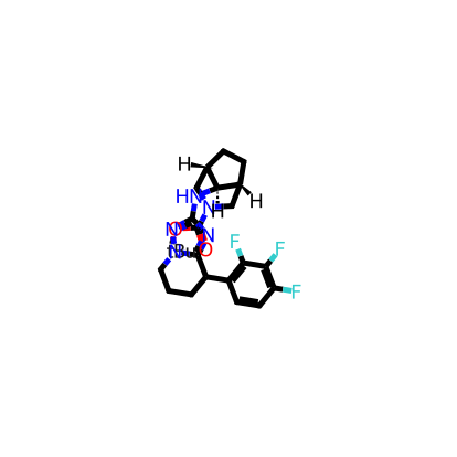 CC(C)(C)OC(=O)N1C[C@H]2CC[C@@H](C1)[C@@H]2Nc1nc2n(n1)CCCC2c1ccc(F)c(F)c1F